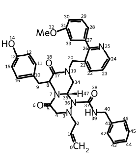 C=CCN1CC(=O)N2C(Cc3ccc(O)cc3)C(=O)N(Cc3cccnc3-c3cccc(OC)c3)C[C@@H]2N1C(=O)NCc1ccccc1